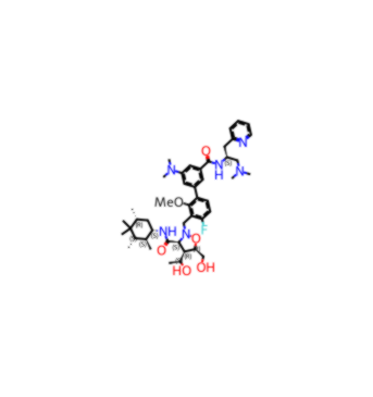 COc1c(-c2cc(C(=O)N[C@@H](Cc3ccccn3)CN(C)C)cc(N(C)C)c2)ccc(F)c1CN1O[C@@H](CO)[C@@H]([C@H](C)O)[C@H]1C(=O)N[C@H]1C[C@@H](C)C(C)(C)[C@@H](C)[C@@H]1C